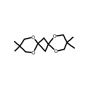 CC1(C)COC2(CC3(C2)OCC(C)(C)CO3)OC1